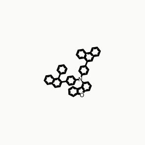 c1ccc(-c2c(-c3ccc(N(c4ccc(-c5cc6ccccc6c6ccccc56)cc4)c4cccc5oc6ccccc6c45)cc3)ccc3ccccc23)cc1